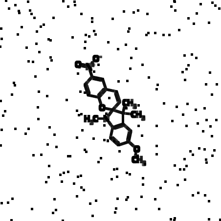 COc1ccc2c(c1)C(C)(C)C1(C=Cc3cc([N+](=O)[O-])ccc3O1)N2C